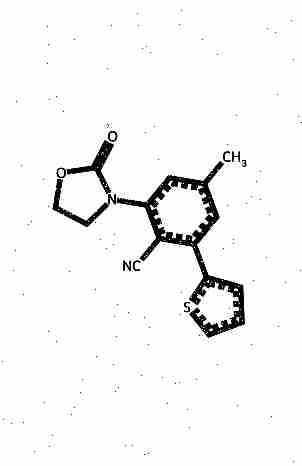 Cc1cc(-c2cccs2)c(C#N)c(N2CCOC2=O)c1